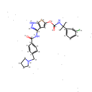 CC(C)(NC(=O)Oc1cc2c(NC(=O)c3ccc(CN4CCCC4)cc3)n[nH]c2s1)c1cccc(F)c1